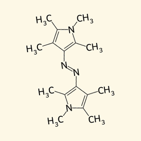 Cc1c(N=Nc2c(C)c(C)n(C)c2C)c(C)n(C)c1C